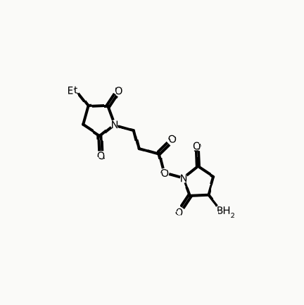 BC1CC(=O)N(OC(=O)CCN2C(=O)CC(CC)C2=O)C1=O